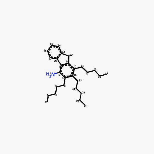 CCCCCc1c(N)c2c(c(CCCCC)c1CCCCC)Cc1ccccc1-2